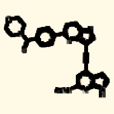 CC(=O)Nc1cc(C#Cc2cnc3ccc(-c4ccc(C(=O)N5CCOCC5)cc4)nn23)c2cc[nH]c2n1